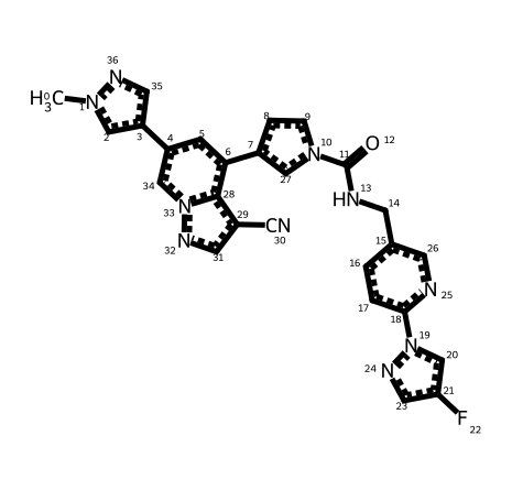 Cn1cc(-c2cc(-c3ccn(C(=O)NCc4ccc(-n5cc(F)cn5)nc4)c3)c3c(C#N)cnn3c2)cn1